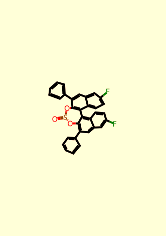 O=S1Oc2c(-c3ccccc3)cc3cc(F)ccc3c2-c2c(c(-c3ccccc3)cc3cc(F)ccc23)O1